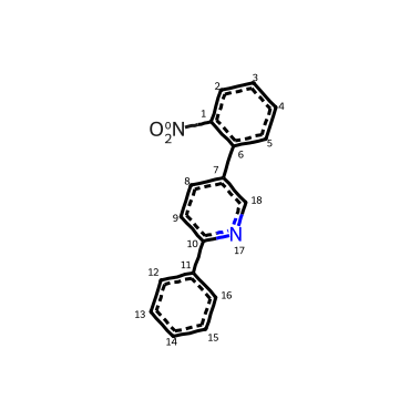 O=[N+]([O-])c1ccccc1-c1ccc(-c2ccccc2)nc1